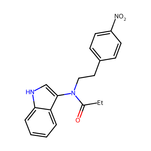 CCC(=O)N(CCc1ccc([N+](=O)[O-])cc1)c1c[nH]c2ccccc12